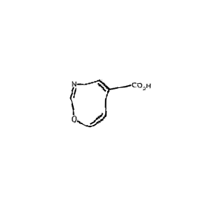 O=C(O)C1=CN=COC=C1